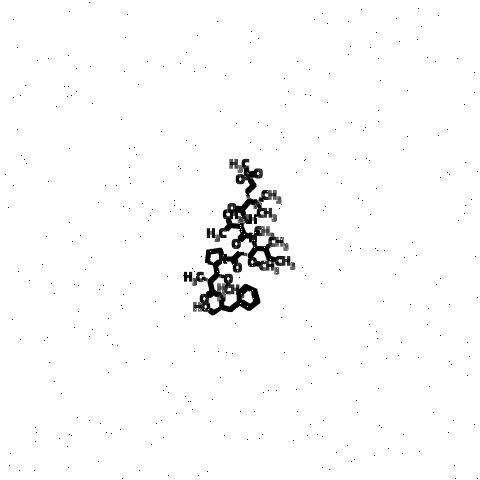 CC[C@H](C)[C@@H]([C@@H](CC(=O)N1CCC[C@H]1[C@H](OC)[C@@H](C)C(=O)N[C@H](CO)Cc1ccccc1)OC)N(C)C(=O)[C@@H](NC(=O)[C@H](CCS(C)(=O)=O)N(C)C)C(C)C